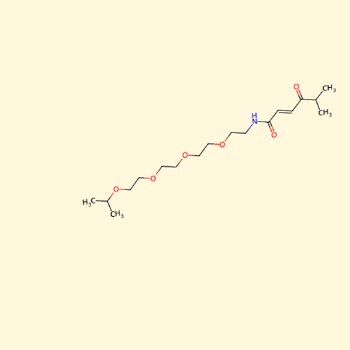 CC(C)OCCOCCOCCOCCNC(=O)/C=C/C(=O)C(C)C